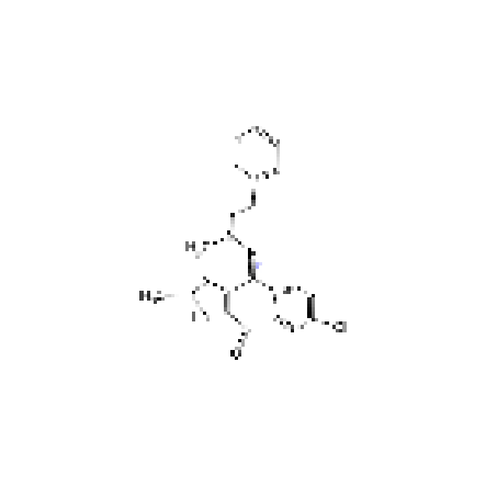 CC1NC(C=O)=C(/C(=N\N(C)CCc2ccccc2)c2ccc(Cl)cc2)S1